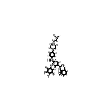 Cc1cccc(C)c1NC(=O)c1cnc(Nc2ccc(N3CCN(CCN(C)C)CC3)cc2)nc1Oc1c(F)c(F)c(F)c(F)c1F